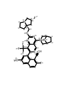 C#Cc1c(F)ccc2cc(O)cc(-c3ncc4c(N5CC6CCC(C5)N6)nc(OC[C@@]56CCCN5C[C@H](F)C6)nc4c3C(F)(F)F)c12